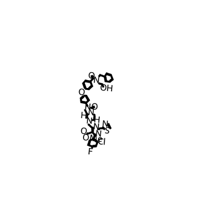 COC(=O)C1=C(CN2CCN3C(=O)N(c4ccc(Oc5ccc(C(=O)N(CCO)Cc6ccccc6)cc5)cc4)C[C@@H]3C2)NC(c2nccs2)=NC1c1ccc(F)cc1Cl